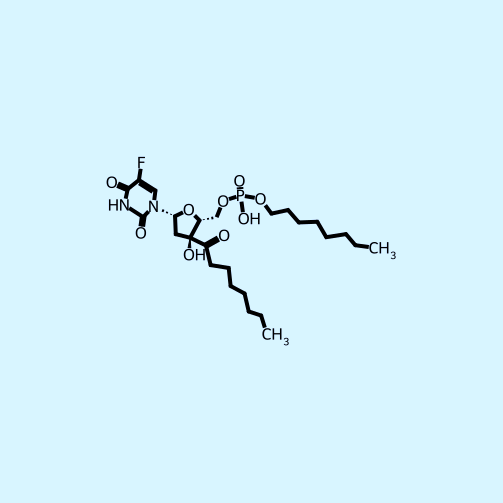 CCCCCCCCOP(=O)(O)OC[C@H]1O[C@@H](n2cc(F)c(=O)[nH]c2=O)C[C@@]1(O)C(=O)CCCCCCC